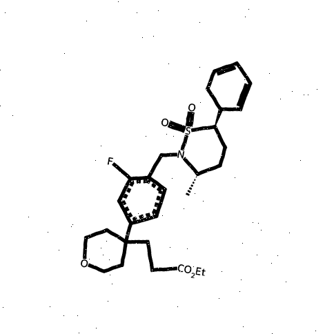 CCOC(=O)CCC1(c2ccc(CN3[C@@H](C)CC[C@H](C4C=CC=CC4)S3(=O)=O)c(F)c2)CCOCC1